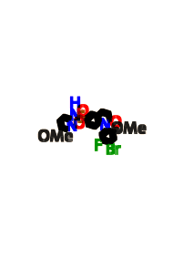 COc1cccc(NS(=O)(=O)c2ccc3c(ccc(=O)n3-c3cc(F)c(Br)cc3OC)c2)n1